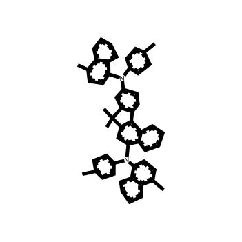 Cc1ccc(N(c2ccc3c(c2)C(C)(C)c2cc(N(c4ccc(C)cc4)c4ccc(C)c5ccccc45)c4ccccc4c2-3)c2ccc(C)c3ccccc23)cc1